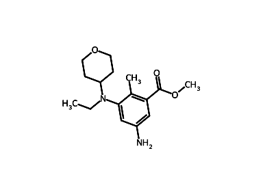 CCN(c1cc(N)cc(C(=O)OC)c1C)C1CCOCC1